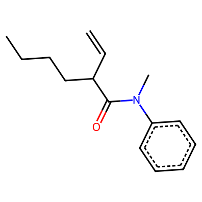 C=CC(CCCC)C(=O)N(C)c1ccccc1